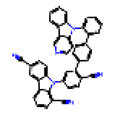 N#Cc1ccc2c(c1)c1cccc(C#N)c1n2-c1ccc(C#N)c(-c2ccc(-c3ccccc3-n3c4ccccc4c4cnccc43)cc2)c1